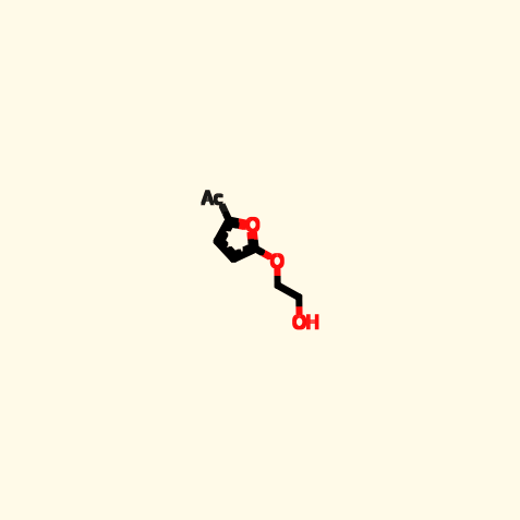 CC(=O)c1ccc(OCCO)o1